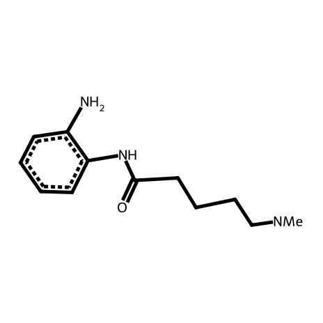 CNCCCCC(=O)Nc1ccccc1N